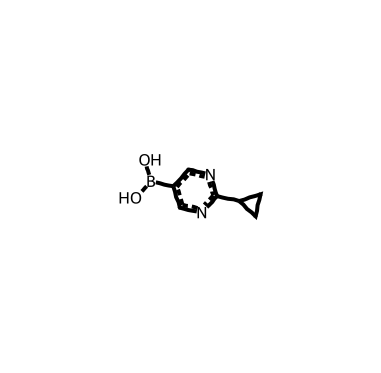 OB(O)c1cnc(C2CC2)nc1